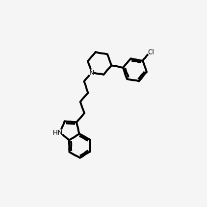 Clc1cccc(C2CCCN(CCCCc3c[nH]c4ccccc34)C2)c1